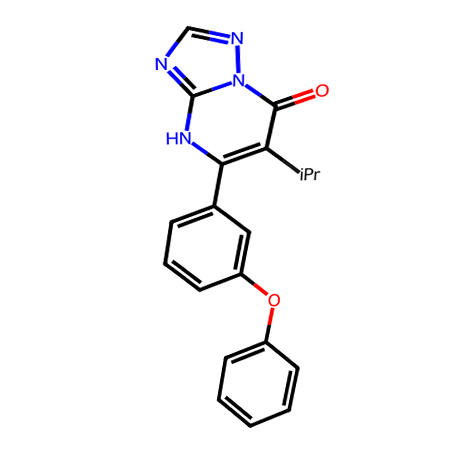 CC(C)c1c(-c2cccc(Oc3ccccc3)c2)[nH]c2ncnn2c1=O